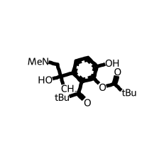 CNCC(C)(O)c1ccc(O)c(OC(=O)C(C)(C)C)c1C(=O)C(C)(C)C